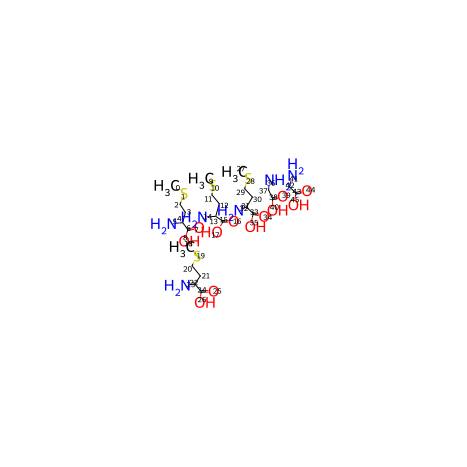 CSCCC(N)C(=O)O.CSCCC(N)C(=O)O.CSCCC(N)C(=O)O.CSCCC(N)C(=O)O.NCC(=O)O.NCC(=O)O